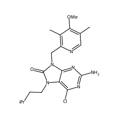 COc1c(C)cnc(Cn2c(=O)n(CCC(C)C)c3c(Cl)nc(N)nc32)c1C